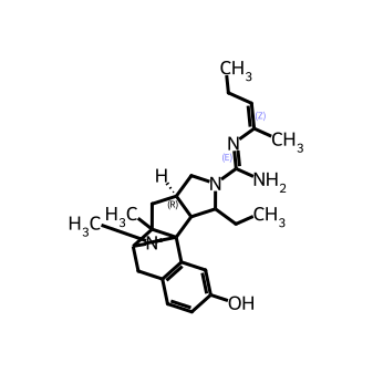 CC/C=C(C)\N=C(/N)N1C[C@@H]2CC3(C)C4Cc5ccc(O)cc5C3(CCCN4C)C2C1CC